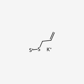 C=CCS[S-].[K+]